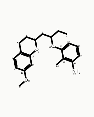 [CH2]CC(CC1CCc2ccc(OC)cc2O1)Oc1cccc(N)c1C